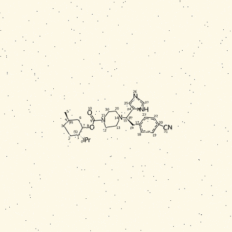 CC(C)[C@@H]1CC[C@@H](C)CC1OC(=O)N1CCN([C@H](Cc2ccc(C#N)cc2)c2cnc[nH]2)CC1